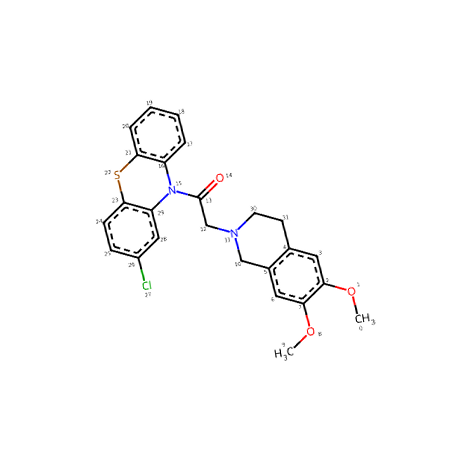 COc1cc2c(cc1OC)CN(CC(=O)N1c3ccccc3Sc3ccc(Cl)cc31)CC2